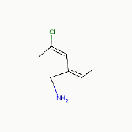 C/C=C(\C=C(/C)Cl)CN